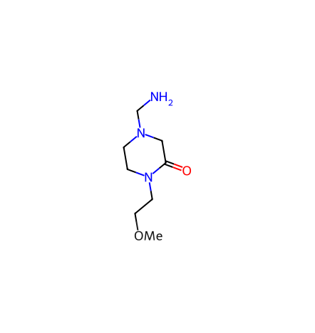 COCCN1CCN(CN)CC1=O